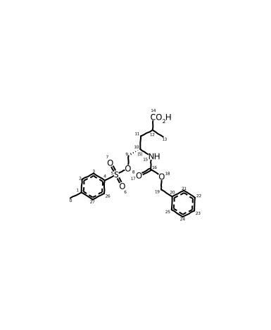 Cc1ccc(S(=O)(=O)OC[C@H](CC(C)C(=O)O)NC(=O)OCc2ccccc2)cc1